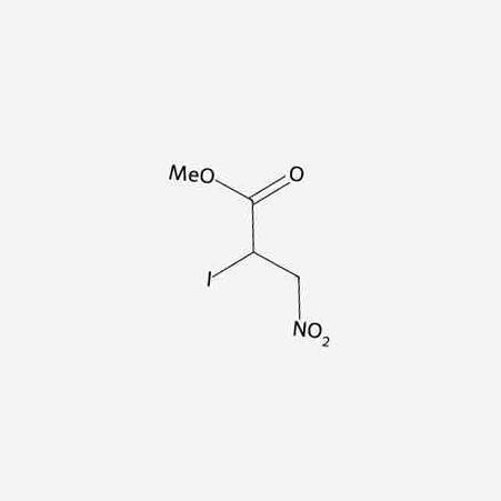 COC(=O)C(I)C[N+](=O)[O-]